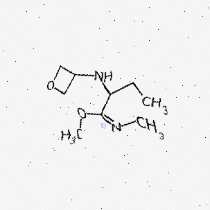 CCC(NC1COC1)/C(=N\C)OC